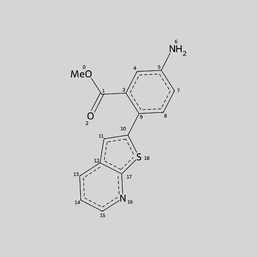 COC(=O)c1cc(N)ccc1-c1cc2cccnc2s1